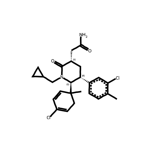 Cc1ccc([C@H]2C[C@@H](CC(N)=O)C(=O)N(CC3CC3)[C@@H]2C2(C)C=CC(Cl)=CC2)cc1Cl